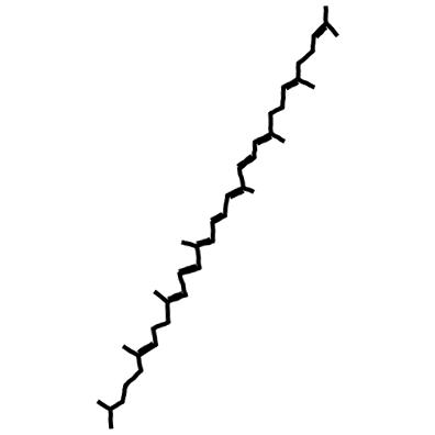 CC(C)=CCC/C(C)=C/CC/C(C)=C/C=C/C(C)=C/C=C/C=C(C)/C=C/C=C(\C)CC/C=C(\C)CCCC(C)C